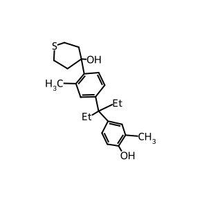 CCC(CC)(c1ccc(O)c(C)c1)c1ccc(C2(O)CCSCC2)c(C)c1